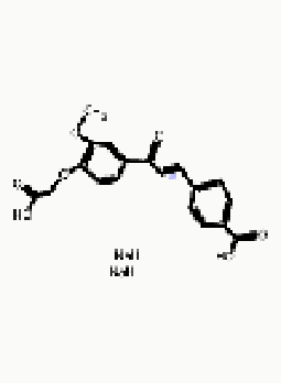 COc1cc(C(=O)/C=C/c2ccc(C(=O)O)cc2)ccc1OCC(=O)O.[NaH].[NaH]